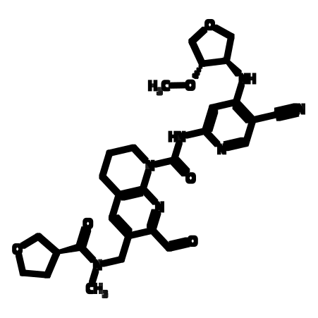 CO[C@@H]1COC[C@H]1Nc1cc(NC(=O)N2CCCc3cc(CN(C)C(=O)[C@H]4CCOC4)c(C=O)nc32)ncc1C#N